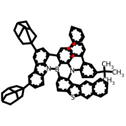 CC(C)(C)c1ccc(N2c3cc(-c4ccccc4)cc4c3B(c3ccc5sc6cc7ccccc7cc6c5c32)n2c3ccc(C56CC7CC(CC(C7)C5)C6)cc3c3cc(C56CC7CC(CC(C7)C5)C6)cc-4c32)c(-c2ccccc2)c1